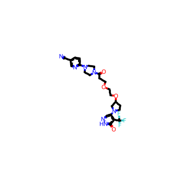 N#Cc1ccc(N2CCN(C(=O)CCOCCOC3CCN(c4cn[nH]c(=O)c4C(F)(F)F)C3)CC2)nc1